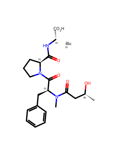 CC[C@H](C)[C@H](NC(=O)[C@@H]1CCCN1C(=O)[C@H](Cc1ccccc1)N(C)C(=O)C[C@@H](C)O)C(=O)O